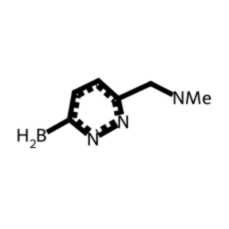 Bc1ccc(CNC)nn1